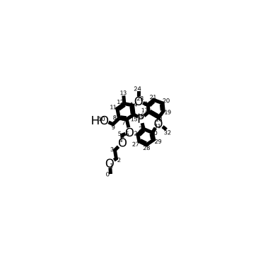 COCCOCOc1c(CO)cc(C)cc1P(c1ccccc1OC)c1ccccc1OC